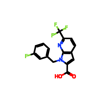 O=C(O)c1cc2ccc(C(F)(F)F)nc2n1Cc1cccc(F)c1